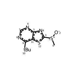 C[S+]([O-])c1nc2ncnc(C(C)(C)C)c2s1